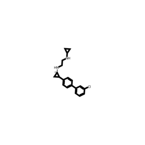 Clc1cccc(-c2ccc(C3C[C@@H]3NCCNC3CC3)cc2)c1